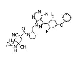 CC(C)(C=C(C#N)C(=O)N1CCCC1Cn1nc(-c2ccc(Oc3ccccc3)cc2F)c2c(N)ncnc21)NC1CC1